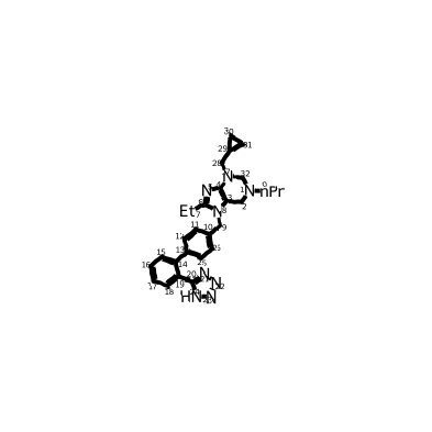 CCCN1Cc2c(nc(CC)n2Cc2ccc(-c3ccccc3-c3nnn[nH]3)cc2)N(CC2CC2)C1